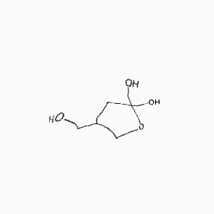 OCC1COC(O)(O)C1